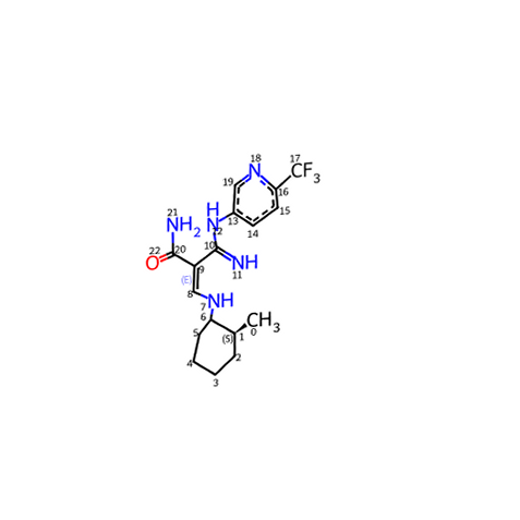 C[C@H]1CCCCC1N/C=C(\C(=N)Nc1ccc(C(F)(F)F)nc1)C(N)=O